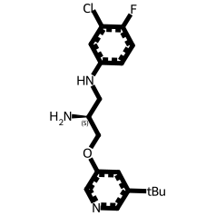 CC(C)(C)c1cncc(OC[C@@H](N)CNc2ccc(F)c(Cl)c2)c1